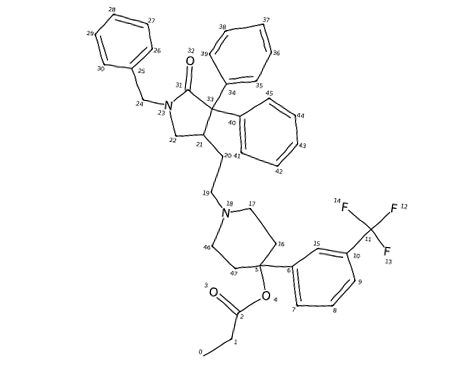 CCC(=O)OC1(c2cccc(C(F)(F)F)c2)CCN(CCC2CN(Cc3ccccc3)C(=O)C2(c2ccccc2)c2ccccc2)CC1